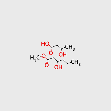 CC(O)CC(=O)O.CCCC(O)CC(=O)OC